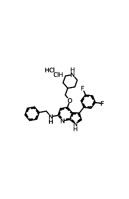 Cl.Cl.Fc1cc(F)cc(-c2c[nH]c3nc(NCc4ccccc4)cc(OCC4CCNCC4)c23)c1